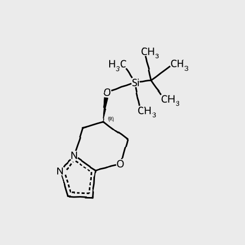 CC(C)(C)[Si](C)(C)O[C@H]1COc2ccnn2C1